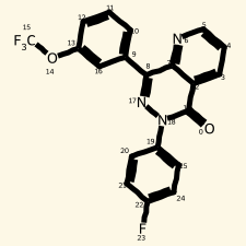 O=c1c2cccnc2c(-c2cccc(OC(F)(F)F)c2)nn1-c1ccc(F)cc1